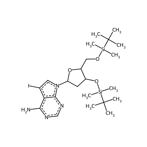 CC(C)(C)[Si](C)(C)OCC1OC(n2cc(I)c3c(N)ncnc32)CC1O[Si](C)(C)C(C)(C)C